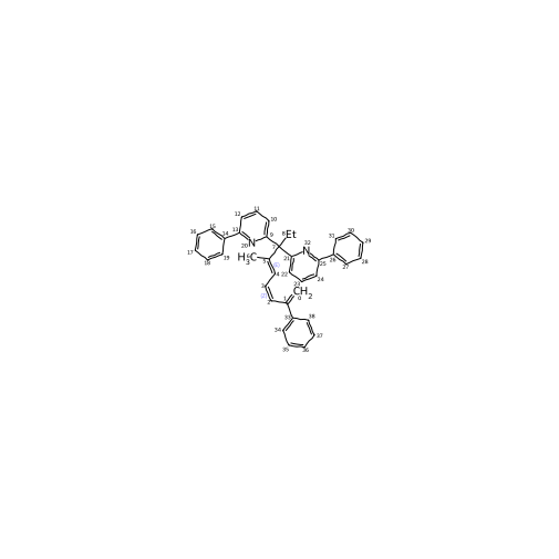 C=C(/C=C\C=C(/C)C(CC)(c1cccc(-c2ccccc2)n1)c1cccc(-c2ccccc2)n1)c1ccccc1